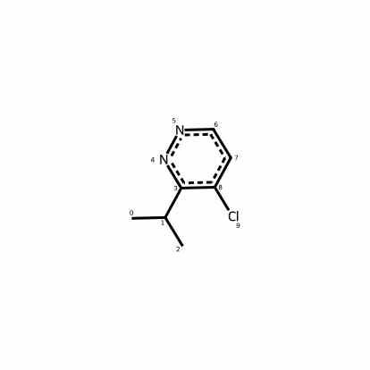 CC(C)c1nnccc1Cl